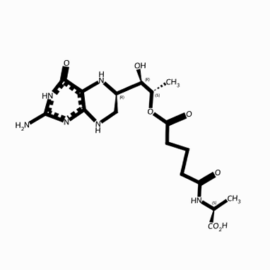 C[C@H](NC(=O)CCCC(=O)O[C@@H](C)[C@H](O)[C@H]1CNc2nc(N)[nH]c(=O)c2N1)C(=O)O